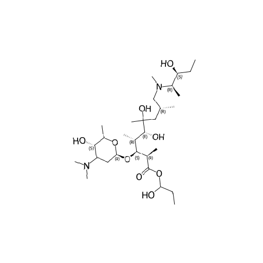 CCC(O)OC(=O)[C@H](C)[C@@H](O[C@H]1CC(N(C)C)[C@H](O)C(C)O1)[C@H](C)[C@@H](O)C(C)(O)C[C@@H](C)CN(C)[C@H](C)[C@@H](O)CC